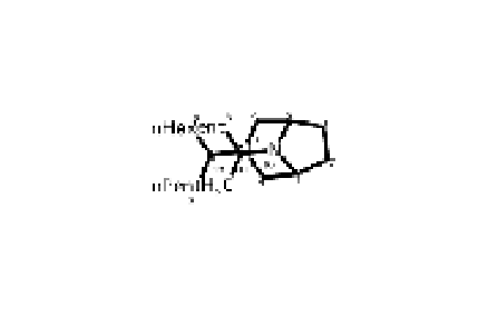 CCCCCCC(CCCCC)N1CC2CCC(C1)N2C(C)CCCCC